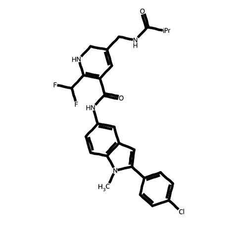 CC(C)C(=O)NCC1=CC(C(=O)Nc2ccc3c(c2)cc(-c2ccc(Cl)cc2)n3C)=C(C(F)F)NC1